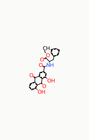 CCOC(=O)C(Cc1ccccc1)NC(=O)c1cc(O)c2c(c1)C(=O)c1cccc(O)c1C2=O